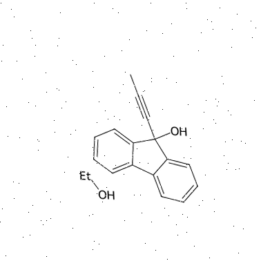 CC#CC1(O)c2ccccc2-c2ccccc21.CCO